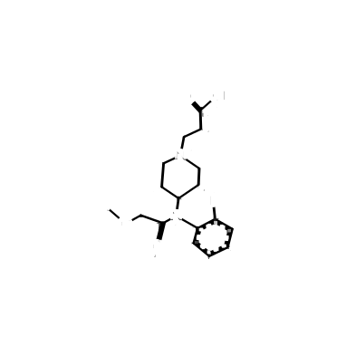 COCC(=O)N(c1ccccc1F)C1CCN(CCC(=O)O)CC1